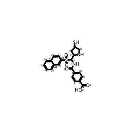 O=C(O)c1ccc(C(=O)NC(C2CC(S)CN2)S(=O)(=O)c2ccc3ccccc3c2)cc1